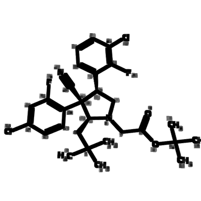 CC(C)(C)C[C@@H]1N(CC(=O)OC(C)(C)C)C[C@H](c2cccc(Cl)c2F)[C@@]1(C#N)c1ccc(Cl)cc1F